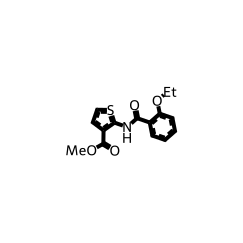 CCOc1ccccc1C(=O)Nc1sccc1C(=O)OC